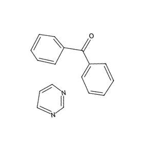 O=C(c1ccccc1)c1ccccc1.c1cncnc1